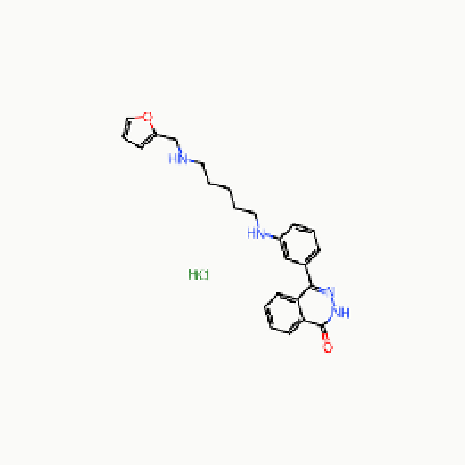 Cl.O=c1[nH]nc(-c2cccc(NCCCCCNCc3ccco3)c2)c2ccccc12